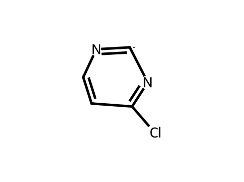 Clc1ccn[c]n1